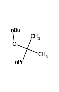 [CH2]CCC(C)(C)OCCCC